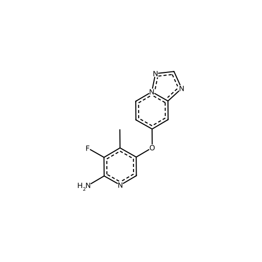 Cc1c(Oc2ccn3ncnc3c2)cnc(N)c1F